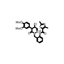 CCC1C=NN(Cc2ccccc2NC(=O)c2sc(C)nc2C)C(=O)C1c1ccc(OC)c(OC)c1